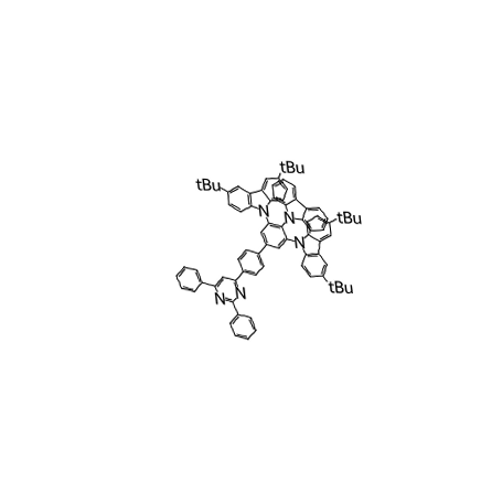 CC(C)(C)c1ccc2c(c1)c1cc(C(C)(C)C)ccc1n2-c1cc(-c2ccc(-c3cc(-c4ccccc4)nc(-c4ccccc4)n3)cc2)cc(-n2c3ccc(C(C)(C)C)cc3c3cc(C(C)(C)C)ccc32)c1-n1c2ccccc2c2ccccc21